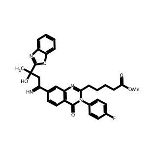 COC(=O)CCCCc1nc2cc(C(=N)CC(C)(O)c3nc4ccccc4o3)ccc2c(=O)n1-c1ccc(F)cc1